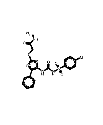 CNC(=O)CSc1nc(-c2ccccc2)c(NC(=O)NS(=O)(=O)c2ccc(Cl)cc2)s1